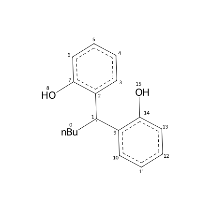 CCCC[C](c1ccccc1O)c1ccccc1O